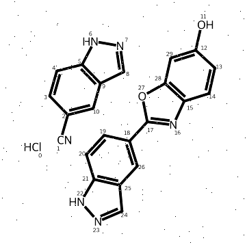 Cl.N#Cc1ccc2[nH]ncc2c1.Oc1ccc2nc(-c3ccc4[nH]ncc4c3)oc2c1